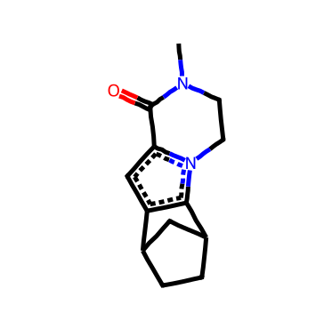 CN1CCn2c(cc3c2C2CCC3C2)C1=O